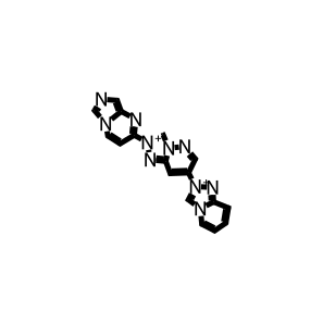 c1ccn2c[n+](-c3cnn4c[n+](-c5ccn6cncc6n5)nc4c3)nc2c1